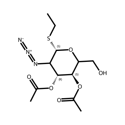 CCS[C@@H]1OC(CO)[C@@H](OC(C)=O)[C@H](OC(C)=O)C1N=[N+]=[N-]